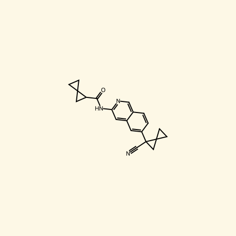 N#CC1(c2ccc3cnc(NC(=O)C4CC45CC5)cc3c2)CC12CC2